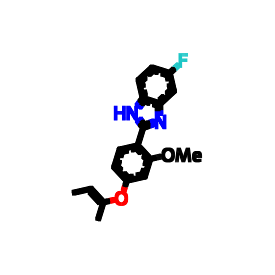 CC=C(C)Oc1ccc(-c2nc3cc(F)ccc3[nH]2)c(OC)c1